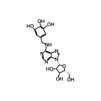 OC[C@H]1O[C@@H](n2cnc3c(NCc4cc(O)c(O)c(O)c4)ncnc32)[C@H](O)[C@@H]1O